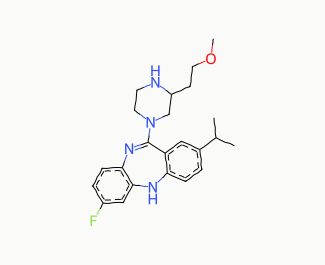 COCCC1CN(C2=Nc3ccc(F)cc3Nc3ccc(C(C)C)cc32)CCN1